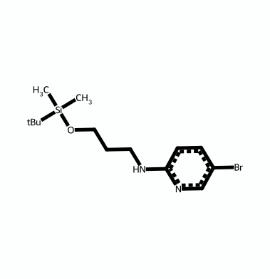 CC(C)(C)[Si](C)(C)OCCCNc1ccc(Br)cn1